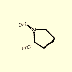 Cl.O=CN1CCCC1